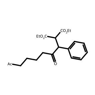 CCOC(=O)C(C(=O)OCC)C(C(=O)CCCCC(C)=O)c1ccccc1